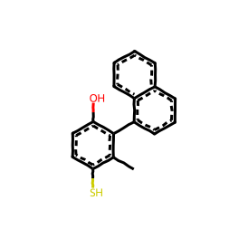 Cc1c(S)ccc(O)c1-c1cccc2ccccc12